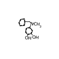 CN(Cc1ccccc1)c1ccc(O)c(O)c1